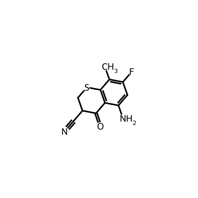 Cc1c(F)cc(N)c2c1SCC(C#N)C2=O